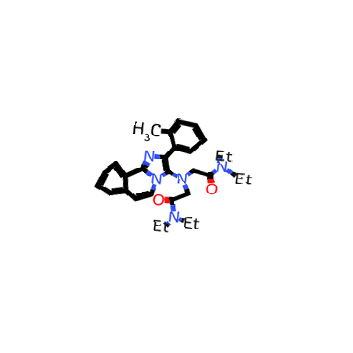 CCN(CC)C(=O)CN(CC(=O)N(CC)CC)c1c(-c2ccccc2C)nc2c3ccccc3ccn12